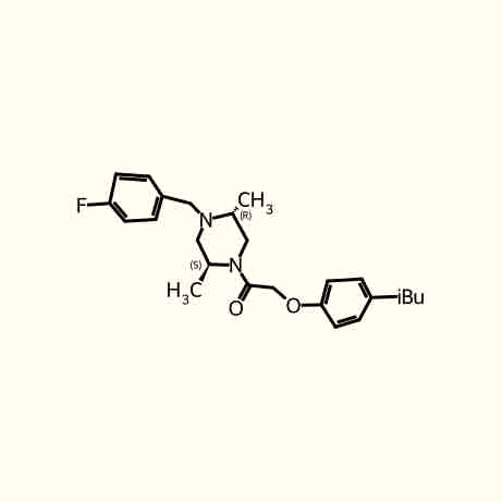 CCC(C)c1ccc(OCC(=O)N2C[C@@H](C)N(Cc3ccc(F)cc3)C[C@@H]2C)cc1